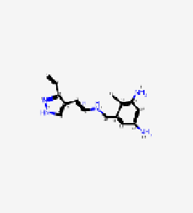 C=Cc1n[nH]cc1/C=C/NCc1cc(N)cc(N)c1C